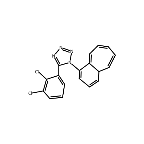 Clc1cccc(-c2nnnn2C2=CC=CC3C=CC=CC=C23)c1Cl